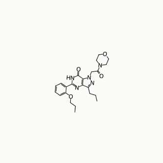 CCCOc1ccccc1-c1nc2c(CCC)nn(CC(=O)N3CCOCC3)c2c(=O)[nH]1